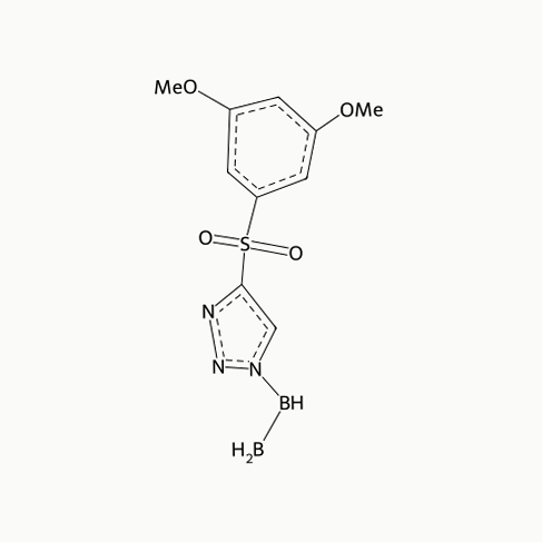 BBn1cc(S(=O)(=O)c2cc(OC)cc(OC)c2)nn1